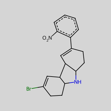 O=[N+]([O-])c1ccccc1C1=CC2C(CC1)NC1CCC(Br)=CC12